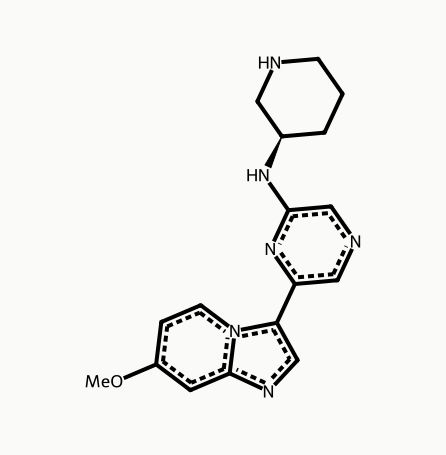 COc1ccn2c(-c3cncc(N[C@@H]4CCCNC4)n3)cnc2c1